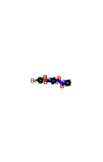 O=C(NNC(=O)c1ccc(CNS(=O)(=O)c2ccc(Br)cc2)cc1)c1ccccc1